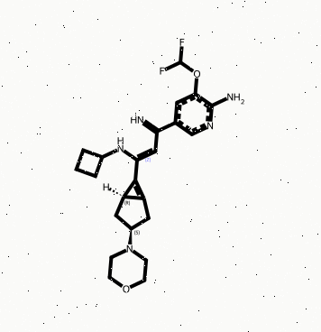 N=C(/C=C(\NC1CCC1)C1=C2C[C@@H](N3CCOCC3)C[C@H]21)c1cnc(N)c(OC(F)F)c1